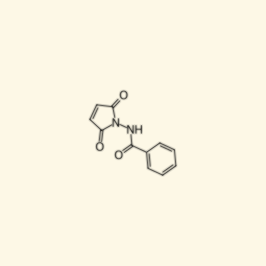 O=C(NN1C(=O)C=CC1=O)c1ccccc1